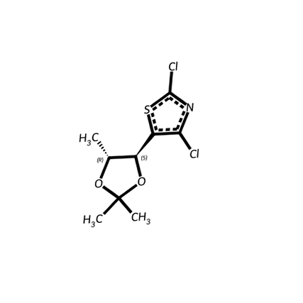 C[C@H]1OC(C)(C)O[C@@H]1c1sc(Cl)nc1Cl